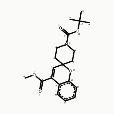 COC(=O)C1=CC2(CCN(C(=O)OC(C)(C)C)CC2)Oc2ccccc21